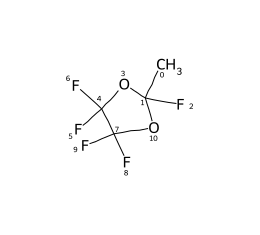 CC1(F)OC(F)(F)C(F)(F)O1